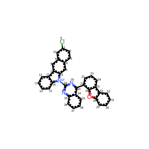 Clc1ccc2cc3c(cc2c1)c1ccccc1n3-c1nc(-c2cccc3c2oc2ccccc23)c2ccccc2n1